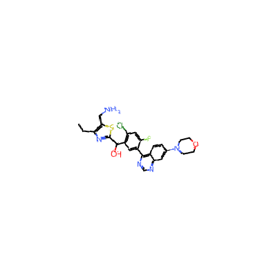 CCc1nc(C(O)c2cc(-c3ncnc4cc(N5CCOCC5)ccc34)c(F)cc2Cl)sc1CN